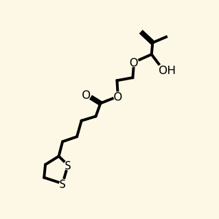 C=C(C)C(O)OCCOC(=O)CCCCC1CCSS1